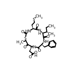 CC[C@H](C)[C@@H]1NC(=O)[C@H](CCSC)NC(=O)SC(C)C(=O)[C@H](CC(=O)O)NC(=O)[C@H](Cc2ccccc2)NC1=O